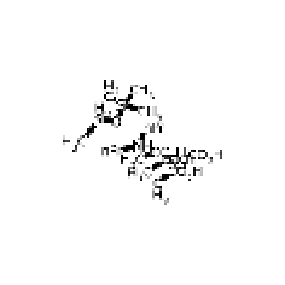 CC(=O)O.CC(=O)O.CC(=O)O.CC(=O)O.CCCNCCC.C[SiH2]O[Si](C)(C)C